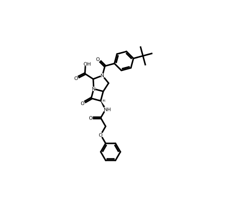 CC(C)(C)c1ccc(C(=O)N2CC3[C@@H](NC(=O)COc4ccccc4)C(=O)N3C2C(=O)O)cc1